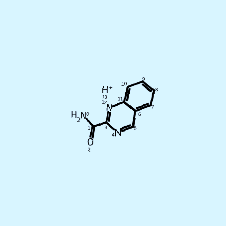 NC(=O)c1ncc2ccccc2n1.[H+]